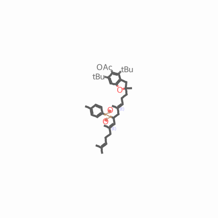 CC(=O)Oc1c(C(C)(C)C)cc2c(c1C(C)(C)C)CC(C)(CC/C=C(\C)CC(/C=C(\C)CCC=C(C)C)S(=O)(=O)c1ccc(C)cc1)O2